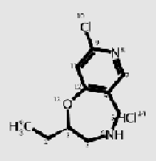 CC[C@@H]1CNCc2cnc(Cl)cc2O1.Cl